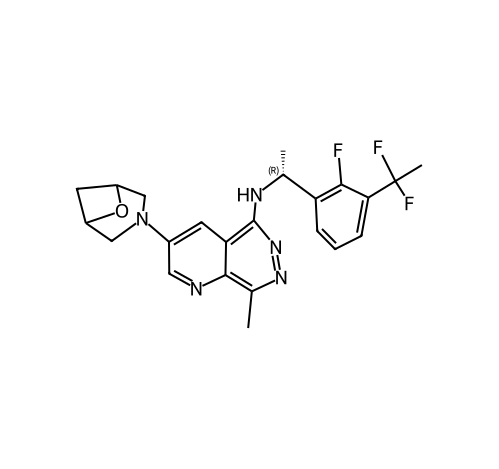 Cc1nnc(N[C@H](C)c2cccc(C(C)(F)F)c2F)c2cc(N3CC4CC(C3)O4)cnc12